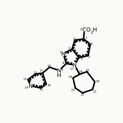 O=C(O)c1ccc2c(c1)nc(NCc1ccncc1)n2C1CCCCCC1